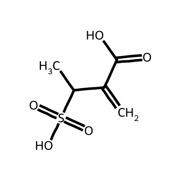 C=C(C(=O)O)C(C)S(=O)(=O)O